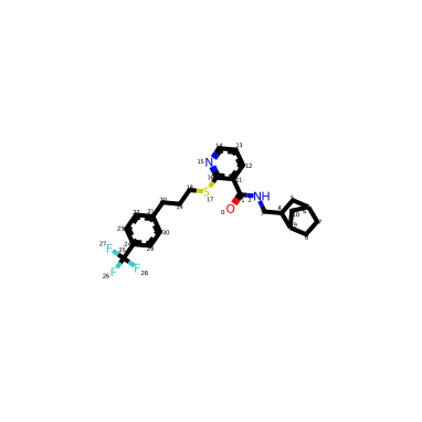 O=C(NCC1CC2CCC1C2)c1cccnc1SCCCc1ccc(C(F)(F)F)cc1